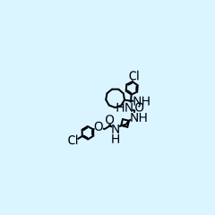 O=C(COc1ccc(Cl)cc1)NC12CC(NC3NC(c4ccc(Cl)cc4)(C4CCCCCCCC4)NO3)(C1)C2